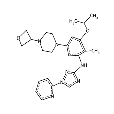 Cc1c(Nc2ncn(-c3ccccn3)n2)cc(N2CCN(C3COC3)CC2)cc1OC(C)C